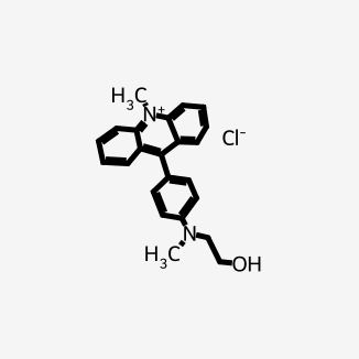 CN(CCO)c1ccc(-c2c3ccccc3[n+](C)c3ccccc23)cc1.[Cl-]